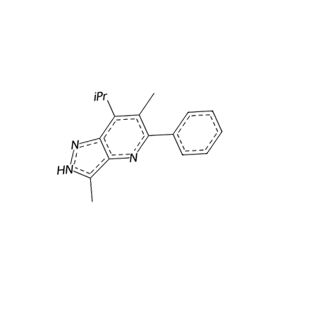 Cc1c(-c2ccccc2)nc2c(C)[nH]nc2c1C(C)C